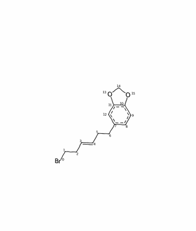 BrCCC=CCCc1ccc2c(c1)OCO2